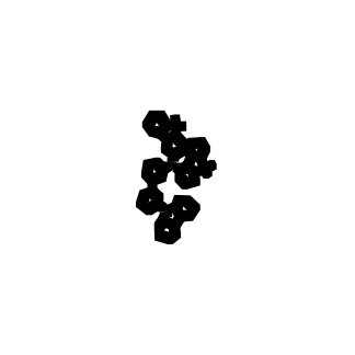 CC1(C)c2ccccc2-c2cc(N(c3cccc(-c4cccc(-n5c6ccccc6c6ccccc65)c4)c3)c3cccc4c3-c3ccccc3C4(C)C)ccc21